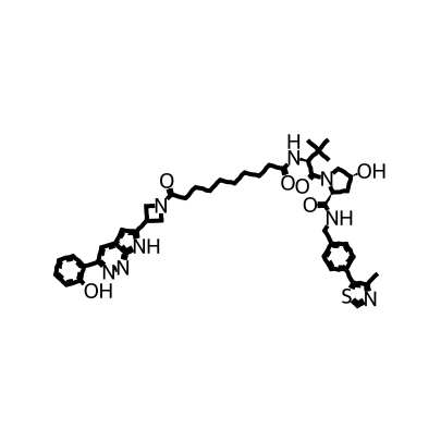 Cc1ncsc1-c1ccc(CNC(=O)[C@@H]2C[C@@H](O)CN2C(=O)[C@@H](NC(=O)CCCCCCCCC(=O)N2CC(c3cc4cc(-c5ccccc5O)nnc4[nH]3)C2)C(C)(C)C)cc1